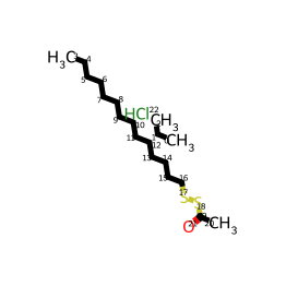 CCC.CCCCCCCCCCCCCCSSC(C)=O.Cl